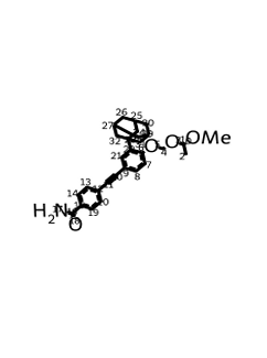 COC(C)OCOc1ccc(C#Cc2ccc(C(N)=O)cc2)cc1C12CC3CC(CC(C3)C1)C2